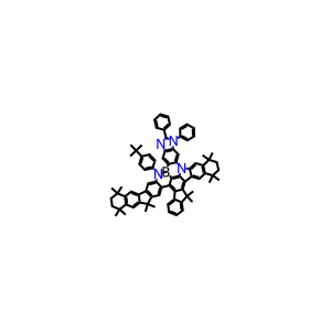 CC(C)(C)c1ccc(N2B3c4cc5nc(-c6ccccc6)n(-c6ccccc6)c5cc4-n4c5cc6c(cc5c5c7c(c(c3c54)-c3cc4c(cc32)-c2cc3c(cc2C4(C)C)C(C)(C)CCC3(C)C)-c2ccccc2C7(C)C)C(C)(C)CCC6(C)C)cc1